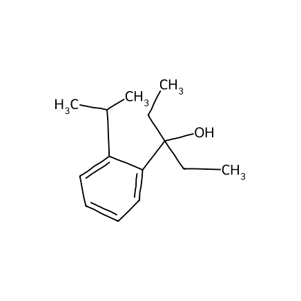 CCC(O)(CC)c1ccccc1C(C)C